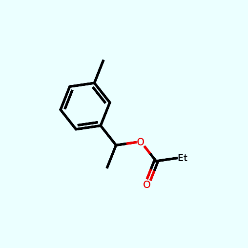 CCC(=O)OC(C)c1cccc(C)c1